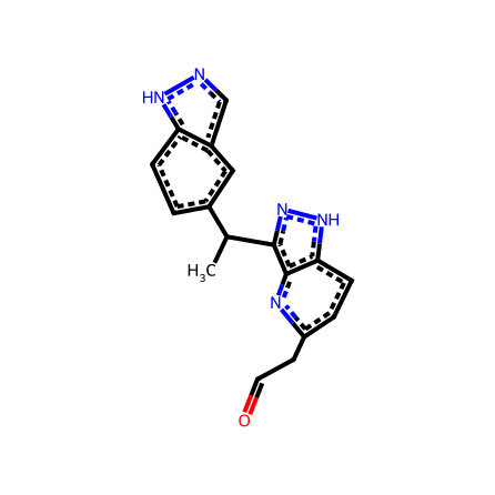 CC(c1ccc2[nH]ncc2c1)c1n[nH]c2ccc(CC=O)nc12